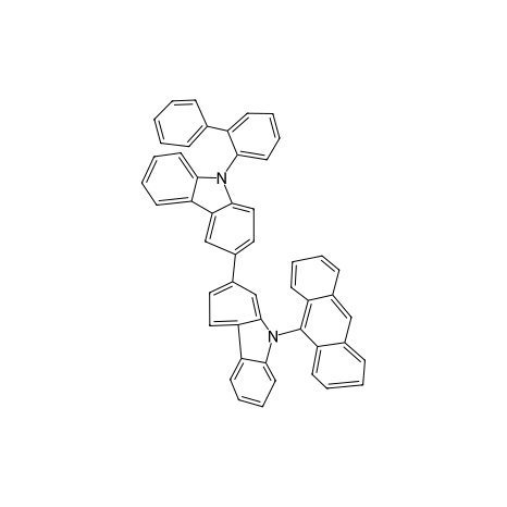 c1ccc(-c2ccccc2-n2c3ccccc3c3cc(-c4ccc5c6ccccc6n(-c6c7ccccc7cc7ccccc67)c5c4)ccc32)cc1